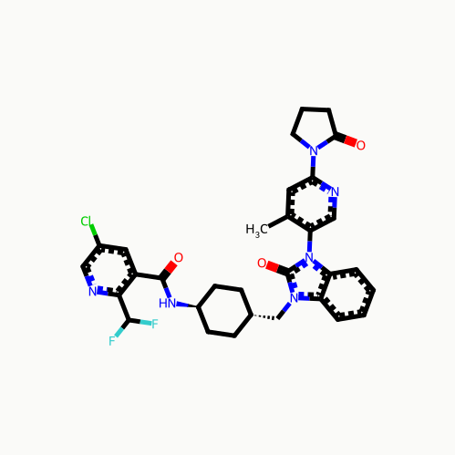 Cc1cc(N2CCCC2=O)ncc1-n1c(=O)n(C[C@H]2CC[C@H](NC(=O)c3cc(Cl)cnc3C(F)F)CC2)c2ccccc21